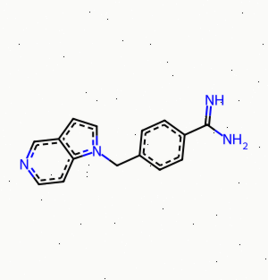 N=C(N)c1ccc(Cn2ccc3cnccc32)cc1